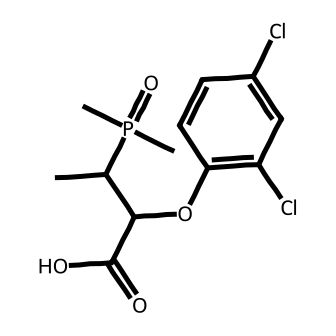 CC(C(Oc1ccc(Cl)cc1Cl)C(=O)O)P(C)(C)=O